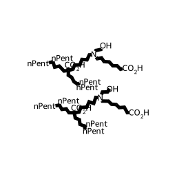 CCCCCC(CCCCC)CCCC(CCCCCCN(CCO)CCCCCCCC(=O)O)(CCCC(CCCCC)CCCCC)C(=O)O.CCCCCC(CCCCC)CCCC(CCCCCCN(CCO)CCCCCCCC(=O)O)(CCCC(CCCCC)CCCCC)C(=O)O